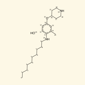 CCCCCCCCCCNc1ccc(OC2CCNCC2)cc1C.Cl